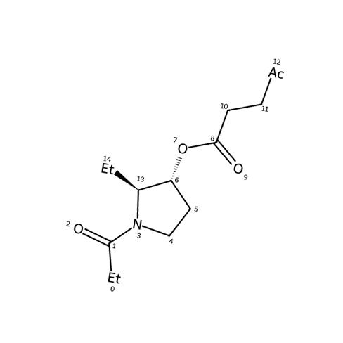 CCC(=O)N1CC[C@@H](OC(=O)CCC(C)=O)[C@@H]1CC